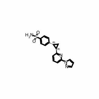 NS(=O)(=O)c1ccc([C@@H]2C[C@H]2c2cccc(-n3cccn3)n2)cc1